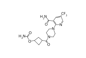 NC(=O)OC1CC(C(=O)N2CCN(c3ncc(C(F)(F)F)cc3C(N)=O)CC2)C1